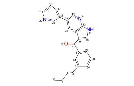 CCCCc1[c]c(C(=O)c2c[nH]c3ncc(-c4cccnc4)cc23)ccc1